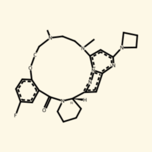 CN1CCOc2ccc(F)cc2C(=O)N2CCCC[C@H]2c2cc3nc(N4CCC4)cc(n3n2)N(C)CC1